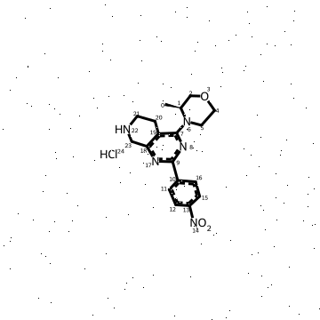 C[C@H]1COCCN1c1nc(-c2ccc([N+](=O)[O-])cc2)nc2c1CCNC2.Cl